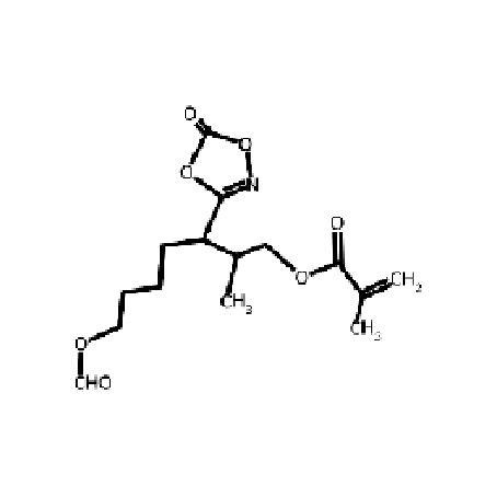 C=C(C)C(=O)OCC(C)C(CCCCOC=O)c1noc(=O)o1